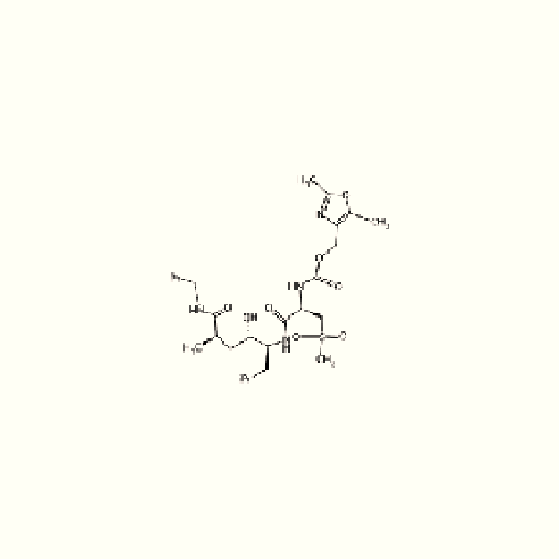 Cc1nc(COC(=O)N[C@@H](CS(C)(=O)=O)C(=O)N[C@@H](CC(C)C)[C@@H](O)C[C@@H](C)C(=O)NCC(C)C)c(C)o1